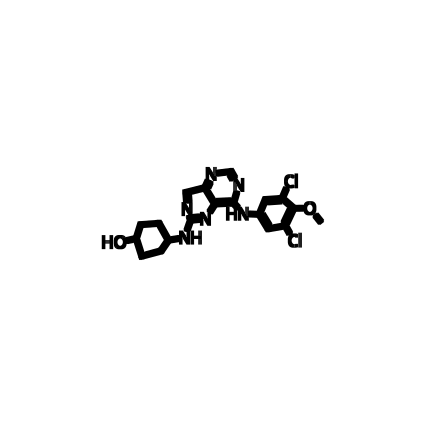 COc1c(Cl)cc(Nc2ncnc3cnc(NC4CCC(O)CC4)nc23)cc1Cl